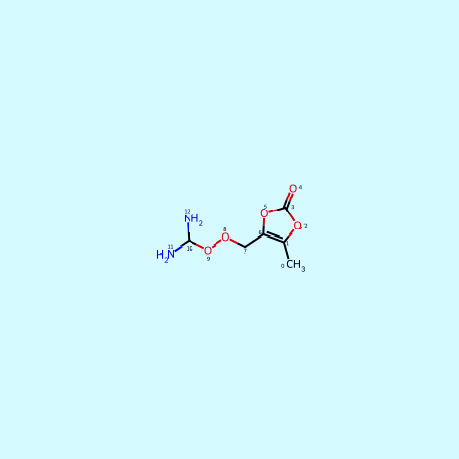 Cc1oc(=O)oc1COOC(N)N